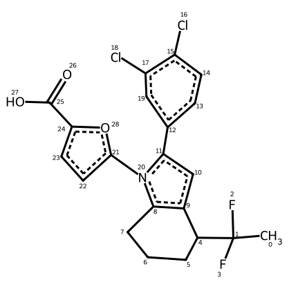 CC(F)(F)C1CCCc2c1cc(-c1ccc(Cl)c(Cl)c1)n2-c1ccc(C(=O)O)o1